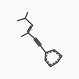 C/C(C#Cc1ccccc1)=C\C(C)C